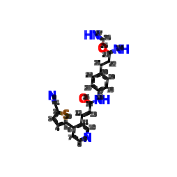 N#Cc1ccc(-c2ccncc2/C=C/C(=O)Nc2ccc(CCC(=N)OC=N)cc2)s1